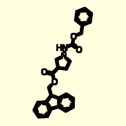 O=C(NN1CCC(C(=O)OCC2c3ccccc3-c3ccccc32)C1)OCc1ccccc1